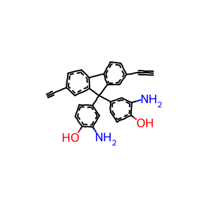 C#Cc1ccc2c(c1)C(c1ccc(O)c(N)c1)(c1ccc(O)c(N)c1)c1cc(C#C)ccc1-2